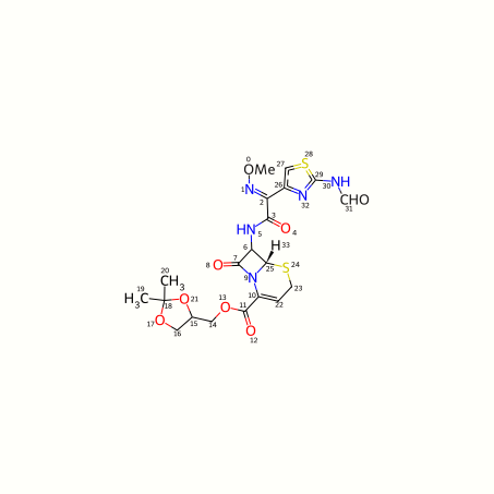 CON=C(C(=O)NC1C(=O)N2C(C(=O)OCC3COC(C)(C)O3)=CCS[C@@H]12)c1csc(NC=O)n1